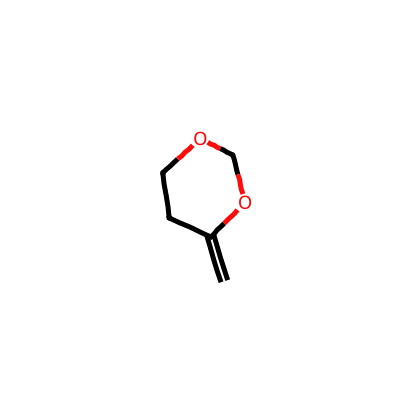 C=C1CCOCO1